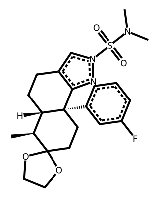 C[C@H]1[C@@H]2CCc3cn(S(=O)(=O)N(C)C)nc3[C@@]2(c2cccc(F)c2)CCC12OCCO2